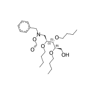 CCCCO[C@@H]([C@H](CN(Cc1ccccc1)OC=O)OCCCC)[C@@H](CO)OCCCC